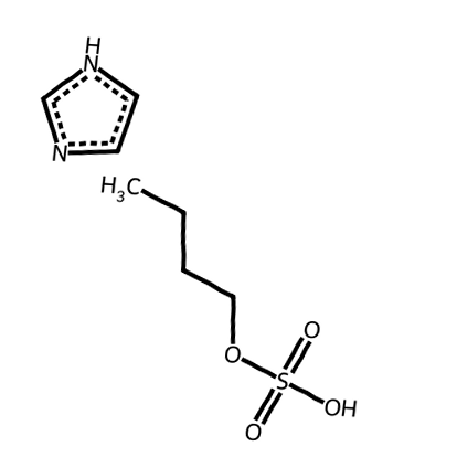 CCCCOS(=O)(=O)O.c1c[nH]cn1